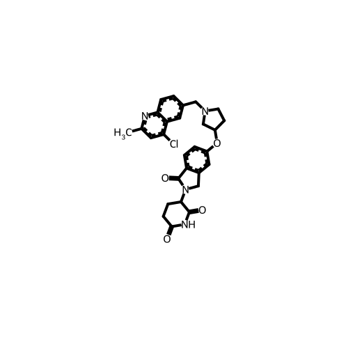 Cc1cc(Cl)c2cc(CN3CCC(Oc4ccc5c(c4)CN(C4CCC(=O)NC4=O)C5=O)C3)ccc2n1